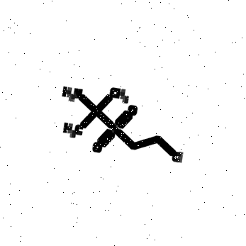 CC(C)(N)S(=O)(=O)CCCl